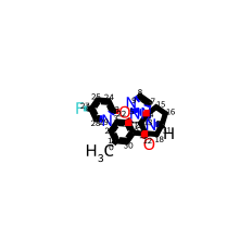 Cc1ccc(-n2nccn2)c(C(=O)N2C3CC[C@H]2CC[C@@H]3COc2ccc(F)cn2)c1